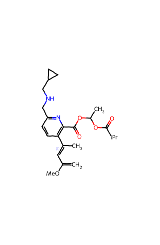 C=C(/C=C(\C)c1ccc(CNCC2CC2)nc1C(=O)OC(C)OC(=O)C(C)C)OC